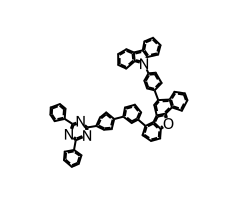 c1ccc(-c2nc(-c3ccccc3)nc(-c3ccc(-c4cccc(-c5cccc6oc7c8ccccc8c(-c8ccc(-n9c%10ccccc%10c%10ccccc%109)cc8)cc7c56)c4)cc3)n2)cc1